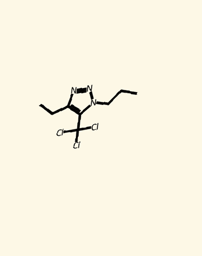 CCCn1nnc(CC)c1C(Cl)(Cl)Cl